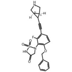 O=C1CN(c2c(OCc3ccccc3)ccc(C#CC3[C@H]4CNC[C@@H]34)c2F)S(=O)(=O)N1